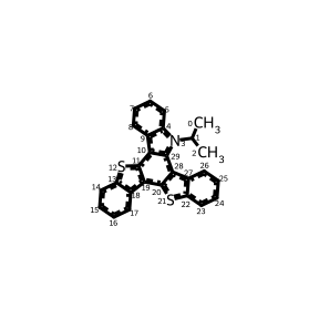 CC(C)n1c2ccccc2c2c3sc4ccccc4c3c3sc4ccccc4c3c21